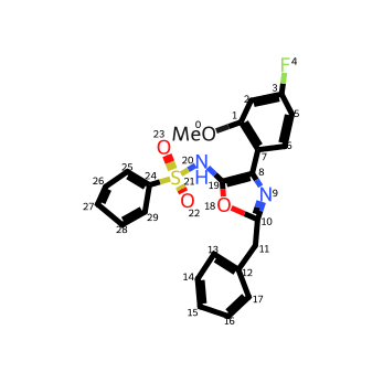 COc1cc(F)ccc1-c1nc(Cc2ccccc2)oc1NS(=O)(=O)c1ccccc1